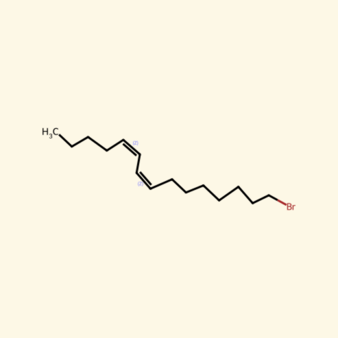 CCCC/C=C\C=C/CCCCCCCBr